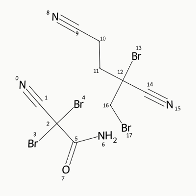 N#CC(Br)(Br)C(N)=O.N#CCCC(Br)(C#N)CBr